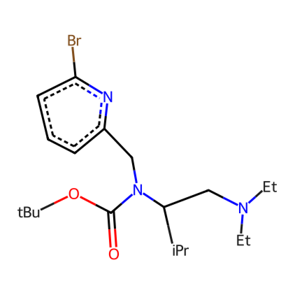 CCN(CC)CC(C(C)C)N(Cc1cccc(Br)n1)C(=O)OC(C)(C)C